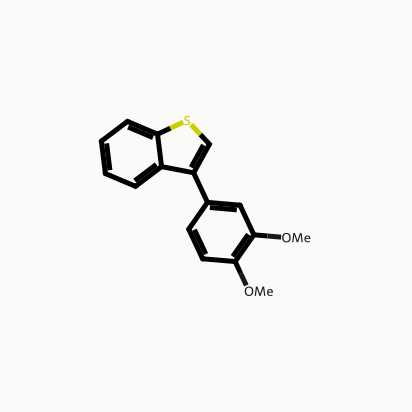 COc1ccc(-c2csc3ccccc23)cc1OC